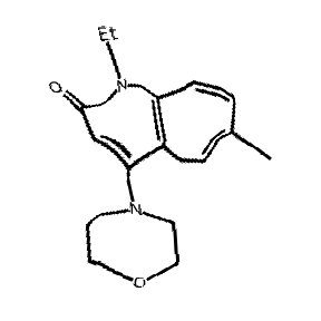 CCn1c(=O)cc(N2CCOCC2)c2cc(C)ccc21